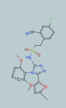 COc1cccc(OC)c1-n1c(NS(=O)(=O)CCc2ccc(F)cc2C#N)nnc1-c1ccc(C)o1